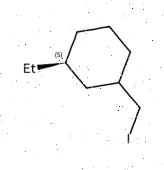 CC[C@H]1CCCC(CI)C1